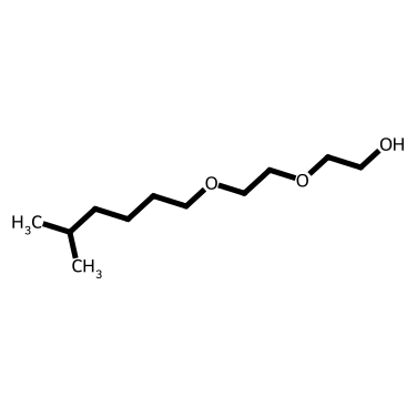 CC(C)CCCCOCCOCCO